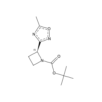 Cc1nc([C@@H]2CCN2C(=O)OC(C)(C)C)no1